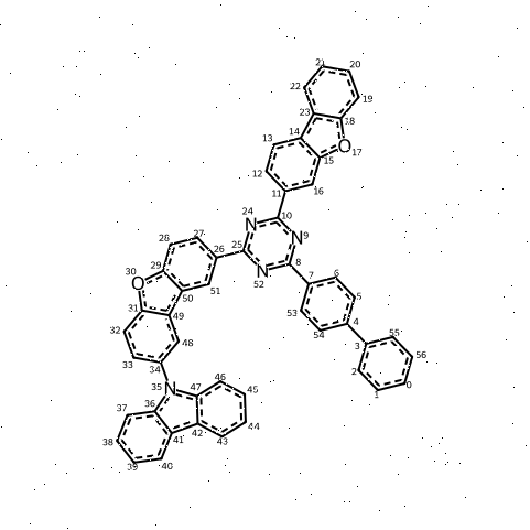 c1ccc(-c2ccc(-c3nc(-c4ccc5c(c4)oc4ccccc45)nc(-c4ccc5oc6ccc(-n7c8ccccc8c8ccccc87)cc6c5c4)n3)cc2)cc1